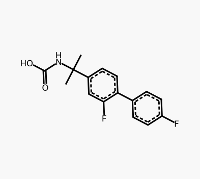 CC(C)(NC(=O)O)c1ccc(-c2ccc(F)cc2)c(F)c1